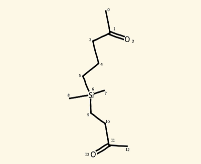 CC(=O)CCC[Si](C)(C)CCC(C)=O